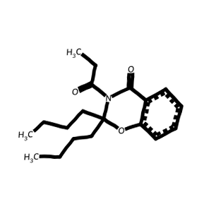 CCCCC1(CCCC)Oc2ccccc2C(=O)N1C(=O)CC